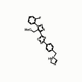 COCc1c(-c2nc(-c3ccc(CN4C=NCN4)cc3)no2)nnn1-c1ccccc1F